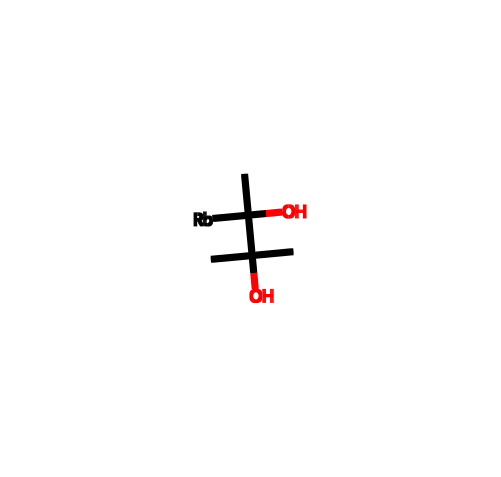 CC(C)(O)[C](C)(O)[Rb]